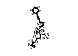 C[N+](C)(C)C[C@@H](CC(=O)OC(=O)C(F)(F)F)NS(=O)(=O)c1ccc(C#Cc2ccccc2)s1